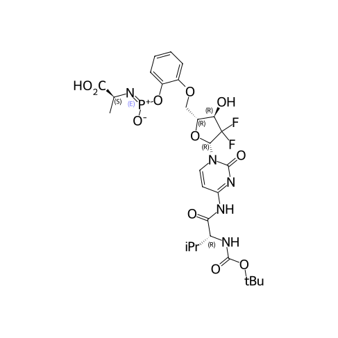 CC(C)[C@@H](NC(=O)OC(C)(C)C)C(=O)Nc1ccn([C@@H]2O[C@H](COc3ccccc3O/[P+]([O-])=N/[C@@H](C)C(=O)O)[C@@H](O)C2(F)F)c(=O)n1